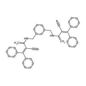 C=C(NCc1cccc(CNC(=C)C(C#N)=C(c2ccccc2)c2ccccc2)c1)C(C#N)=C(c1ccccc1)c1ccccc1